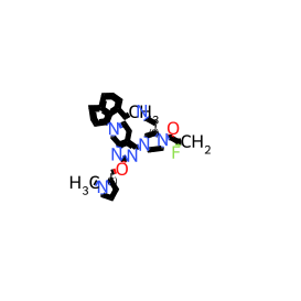 C=C(F)C(=O)N1CCN(c2nc(OC[C@@H]3CCCN3C)nc3c2CCN(c2cccc4cccc(CC)c24)C3)C[C@@H]1CC#N